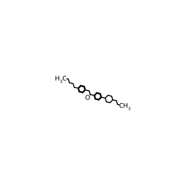 CCCCCc1ccc(CC(=O)c2ccc(C3CCC(CCC)CC3)cc2)cc1